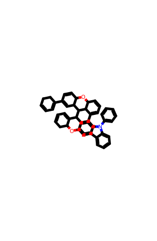 C1=CCCC(C2=CC3C(C=C2)OC2C=CC=C(C4=CC=CC5c6ccccc6N(c6ccccc6)C45)C2C3C2C3=CC=CCC3OC3C=CC=CC32)=C1